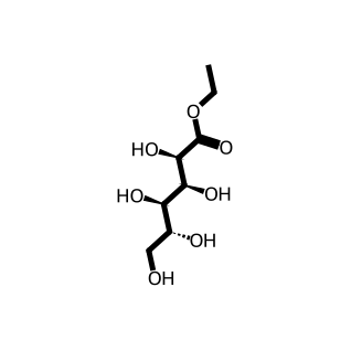 CCOC(=O)[C@H](O)[C@@H](O)[C@H](O)[C@H](O)CO